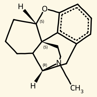 CN1CC[C@]23c4c5cccc4O[C@H]2CCCC3[C@H]1C5